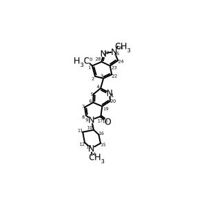 Cc1cc(-c2cc3ccn(C4CCN(C)CC4)c(=O)c3cn2)cc2cn(C)nc12